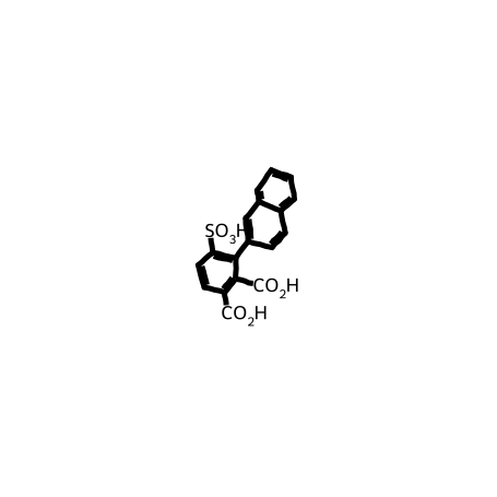 O=C(O)c1ccc(S(=O)(=O)O)c(-c2ccc3ccccc3c2)c1C(=O)O